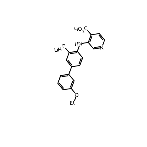 CCOc1cccc(-c2ccc(Nc3cnccc3C(=O)O)c(F)c2)c1.[LiH]